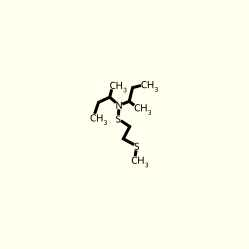 CCC(C)N(SCCSC)C(C)CC